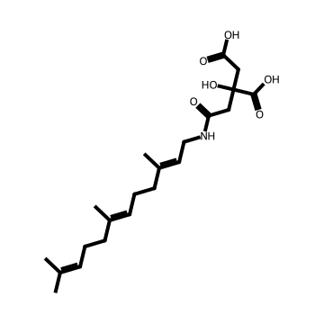 CC(C)=CCC/C(C)=C/CC/C(C)=C/CNC(=O)CC(O)(CC(=O)O)C(=O)O